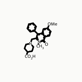 COc1ccc2c(=O)n(C)c(CN3CCC(C(=O)O)CC3)c(-c3ccccc3)c2c1